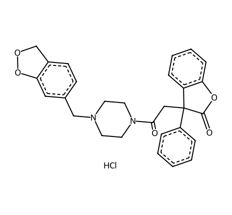 Cl.O=C(CC1(c2ccccc2)C(=O)Oc2ccccc21)N1CCN(Cc2ccc3c(c2)OOC3)CC1